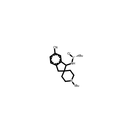 CC(C)(C)N1CCC2(CC1)Cc1ccc(C#N)cc1C2N[S@+]([O-])C(C)(C)C